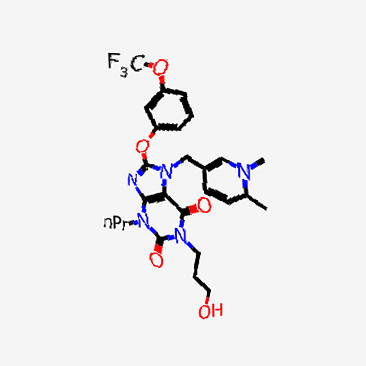 CCCn1c(=O)n(CCCO)c(=O)c2c1nc(Oc1cccc(OC(F)(F)F)c1)n2CC1=CN(C)C(C)C=C1